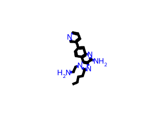 CCCCc1nc2c(N)nc3cc(-c4cccnc4)ccc3c2n1CCN